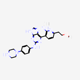 CNc1nc(CCOC)ccc1-c1nc(Nc2ccc(N3CCNCC3)cc2)nc2[nH]cnc12